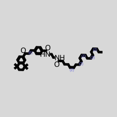 CC/C=C\C/C=C\C/C=C\C/C=C\C/C=C\CCCC(=O)NCCNC(=O)c1ccc(/C=C/C(=O)c2ccc3c(c2)C(C)(C)CCC3(C)C)cc1